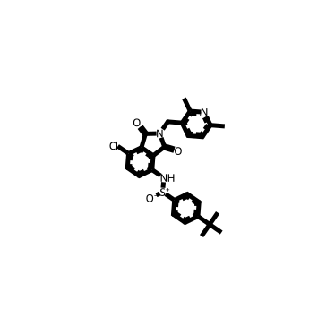 Cc1ccc(CN2C(=O)c3c(Cl)ccc(N[S+]([O-])c4ccc(C(C)(C)C)cc4)c3C2=O)c(C)n1